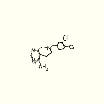 Nc1ncnc2c1CCN(Cc1ccc(Cl)c(Cl)c1)C2